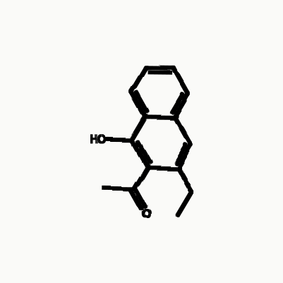 CCc1cc2ccccc2c(O)c1C(C)=O